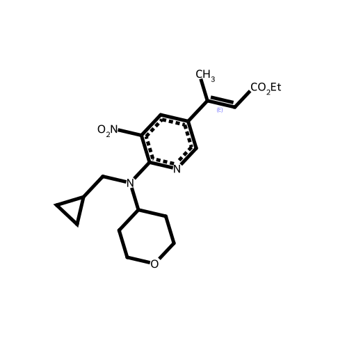 CCOC(=O)/C=C(\C)c1cnc(N(CC2CC2)C2CCOCC2)c([N+](=O)[O-])c1